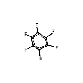 Fc1c(F)c(F)[c]([Ir])c(F)c1F